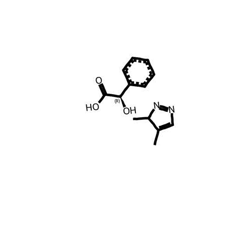 CC1=CN=NC1C.O=C(O)[C@H](O)c1ccccc1